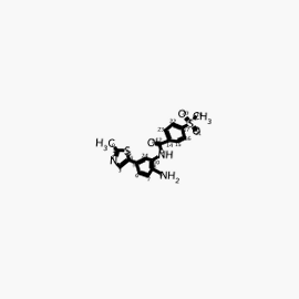 Cc1ncc(-c2ccc(N)c(NC(=O)c3ccc(S(C)(=O)=O)cc3)c2)s1